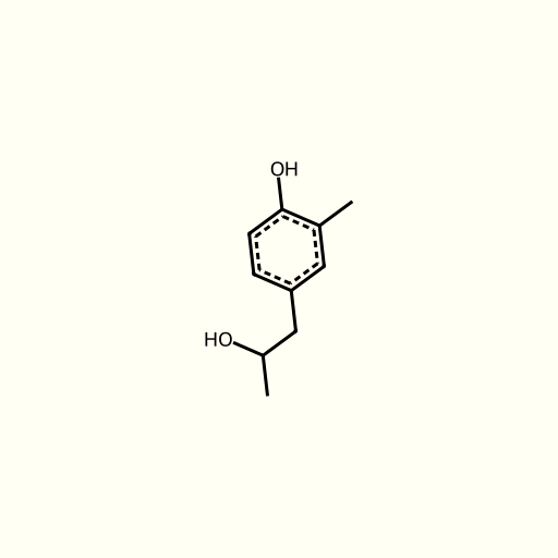 Cc1cc(CC(C)O)ccc1O